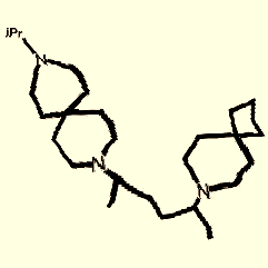 CC(C)N1CCC2(CC1)CCN(C(C)CCC(C)N1CCC3(CCC3)CC1)CC2